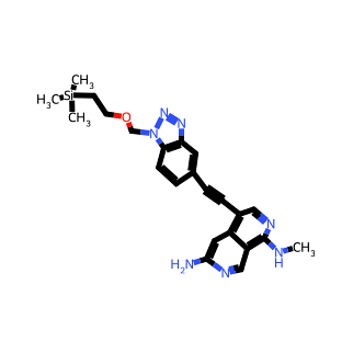 CNc1ncc(C#Cc2ccc3c(c2)nnn3COCC[Si](C)(C)C)c2cc(N)ncc12